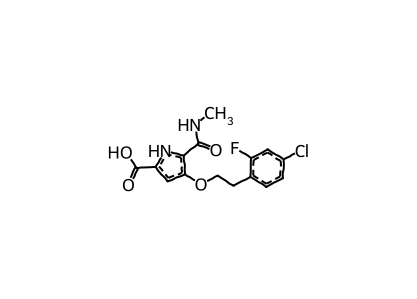 CNC(=O)c1[nH]c(C(=O)O)cc1OCCc1ccc(Cl)cc1F